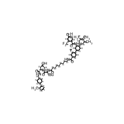 Cc1ncsc1-c1ccc(CNC(=O)[C@@H]2C[C@@H](O)CN2C(=O)[C@@H](NC(=O)CCCCCCCCNC(=O)c2ccc(-c3ccc(N4C[C@@H](C)N(C)[C@@H](C)C4)c(NC(=O)c4c[nH]c(=O)cc4C(F)(F)F)c3)c(F)c2)C(C)(C)C)cc1